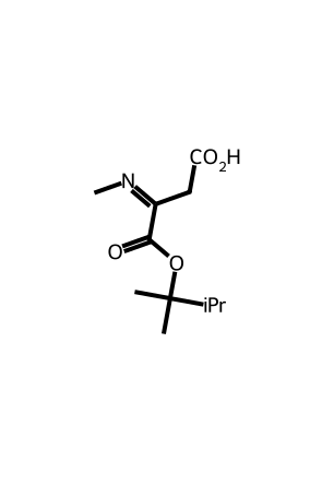 CN=C(CC(=O)O)C(=O)OC(C)(C)C(C)C